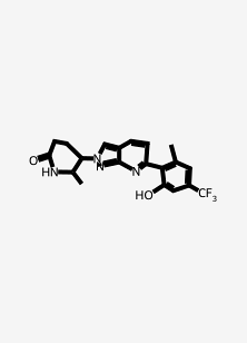 Cc1cc(C(F)(F)F)cc(O)c1-c1ccc2cn(C3CCC(=O)NC3C)nc2n1